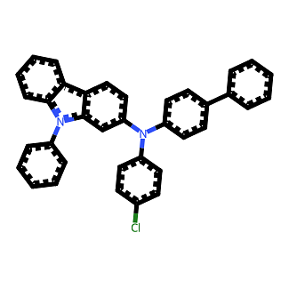 Clc1ccc(N(c2ccc(-c3ccccc3)cc2)c2ccc3c4ccccc4n(-c4ccccc4)c3c2)cc1